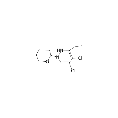 CCC1=C(Cl)C(Cl)=CN(C2CCCCO2)N1